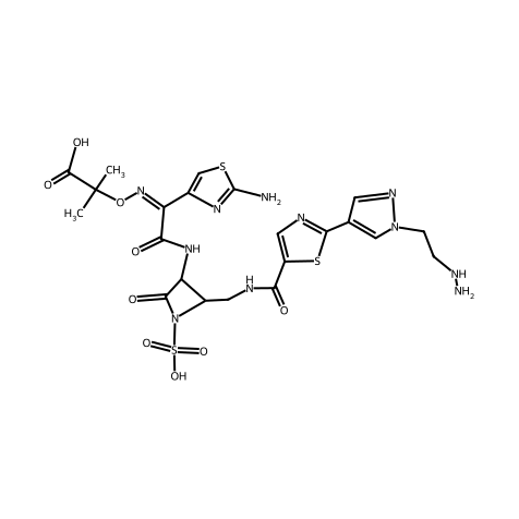 CC(C)(O/N=C(\C(=O)NC1C(=O)N(S(=O)(=O)O)C1CNC(=O)c1cnc(-c2cnn(CCNN)c2)s1)c1csc(N)n1)C(=O)O